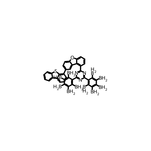 Bc1c(B)c(B)c(-c2nc(-c3c(B)c(B)c(B)c(B)c3B)nc(-c3cccc4oc5ccc(-c6cccc7c6sc6ccccc67)cc5c34)n2)c(B)c1B